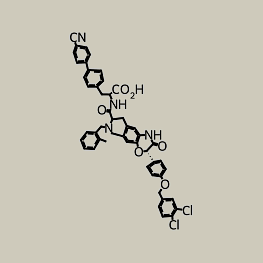 Cc1ccccc1CN1Cc2cc3c(cc2CC1C(=O)N[C@@H](Cc1ccc(-c2ccc(C#N)cc2)cc1)C(=O)O)NC(=O)[C@H](c1ccc(OCc2ccc(Cl)c(Cl)c2)cc1)O3